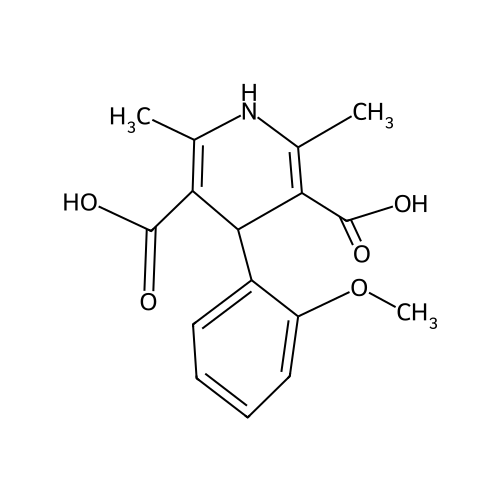 COc1ccccc1C1C(C(=O)O)=C(C)NC(C)=C1C(=O)O